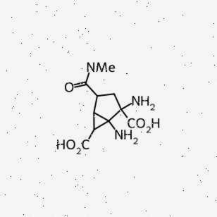 CNC(=O)C1CC(N)(C(=O)O)C2(N)C(C(=O)O)C12